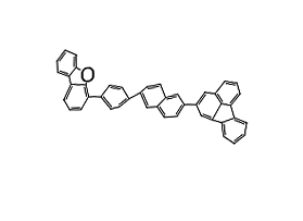 c1ccc2c(c1)-c1cccc3cc(-c4ccc5cc(-c6ccc(-c7cccc8c7oc7ccccc78)cc6)ccc5c4)cc-2c13